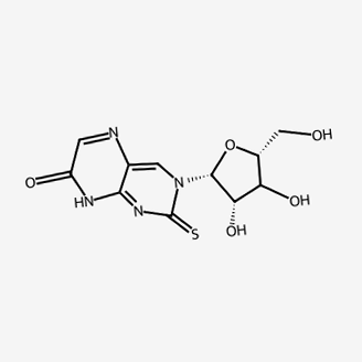 O=c1cnc2cn([C@@H]3O[C@H](CO)C(O)[C@@H]3O)c(=S)nc2[nH]1